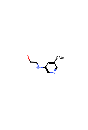 COc1cncc(NCCO)c1